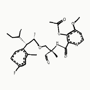 CCC(C)[C@@H](c1ccc(F)cc1C)[C@H](C)OC[C@@](C)(C=O)NC(=O)c1nccc(OC)c1OC(C)=O